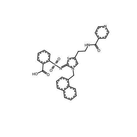 O=C(NCCc1cn(Cc2cccc3ccccc23)c(=NS(=O)(=O)c2ccccc2C(=O)O)s1)c1ccncc1